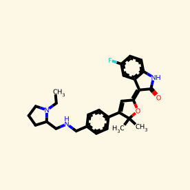 CCN1CCCC1CNCc1ccc(C2=CC(=C3C(=O)Nc4ccc(F)cc43)OC2(C)C)cc1